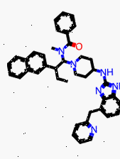 CCC(c1ccc2ccccc2c1)C(N1CCC(Nc2nc3c(Cc4ccccn4)cccc3[nH]2)CC1)N(C)C(=O)c1ccccc1